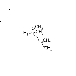 C=CC(=C)CCCC(C)(C)OC